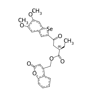 CC[C@H](CC(=O)c1cc2cc(OC)c(OC)cc2[se]1)C(=O)OCc1cc(=O)oc2ccccc12